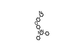 c1ccc(-c2cc(-c3ccccc3)nc(-c3ccc(Oc4ccc(-c5cccnc5)cc4)cc3)n2)cc1